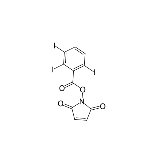 O=C(ON1C(=O)C=CC1=O)c1c(I)ccc(I)c1I